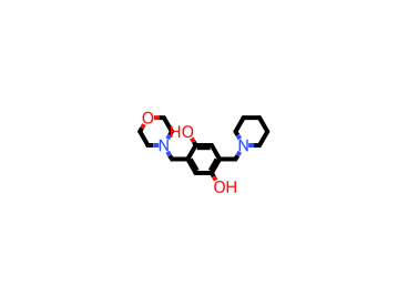 Oc1cc(CN2CCOCC2)c(O)cc1CN1CCCCC1